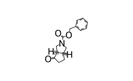 O=C1CC[C@H]2CN(C(=O)OCc3ccccc3)C[C@H]12